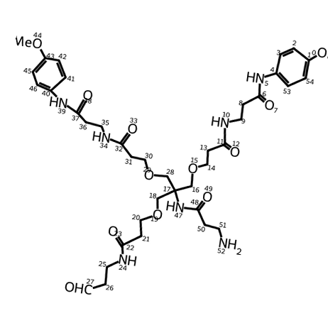 COc1ccc(NC(=O)CCNC(=O)CCOCC(COCCC(=O)NCCC=O)(COCCC(=O)NCCC(=O)Nc2ccc(OC)cc2)NC(=O)CCN)cc1